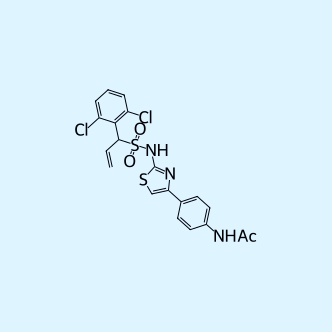 C=CC(c1c(Cl)cccc1Cl)S(=O)(=O)Nc1nc(-c2ccc(NC(C)=O)cc2)cs1